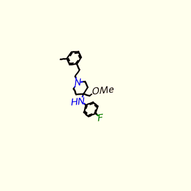 COCC1(Nc2ccc(F)cc2)CCN(CCc2cccc(C)c2)CC1